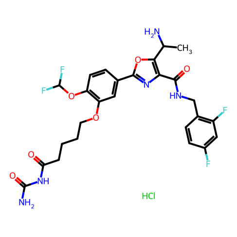 CC(N)c1oc(-c2ccc(OC(F)F)c(OCCCCC(=O)NC(N)=O)c2)nc1C(=O)NCc1ccc(F)cc1F.Cl